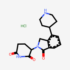 Cl.O=C1CCC(N2Cc3c(cccc3C3CCNCC3)C2=O)C(=O)N1